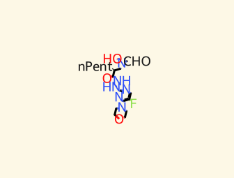 CCCCC[C@H](CN(O)C=O)C(=O)NNc1ncc(F)c(N2CCOCC2)n1